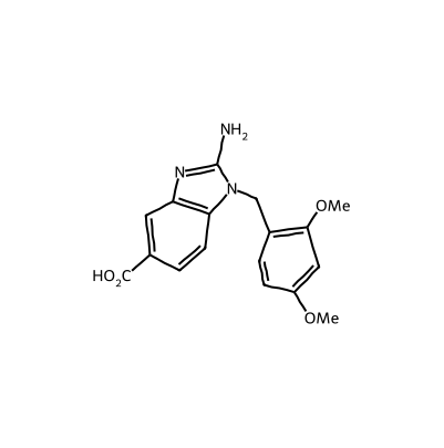 COc1ccc(Cn2c(N)nc3cc(C(=O)O)ccc32)c(OC)c1